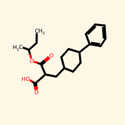 CCC(C)OC(=O)C(CC1CCC(c2ccccc2)CC1)C(=O)O